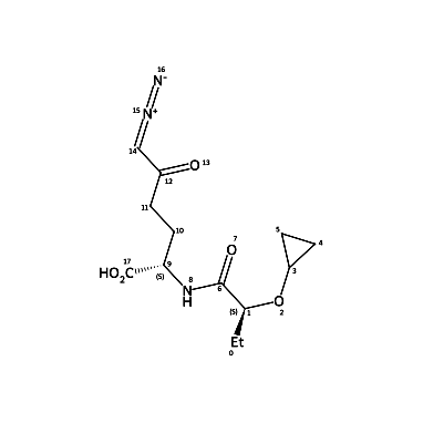 CC[C@H](OC1CC1)C(=O)N[C@@H](CCC(=O)C=[N+]=[N-])C(=O)O